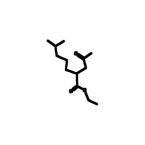 CCOC(=O)C(CCCC(C)C)CC(C)=O